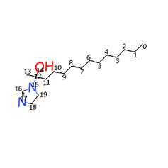 CCCCCCCCCCCCC(C)(O)N1C=NCC1